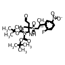 C[C@H](CS(=O)(=O)C(CF)(CC=O)C(=N)N(C(=O)OC(C)(C)C)C(=O)OC(C)(C)C)c1cc([N+](=O)[O-])ccc1F